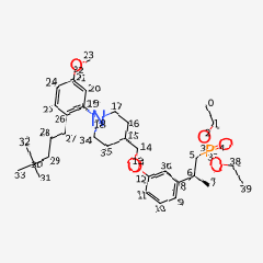 CCOP(=O)(C[C@@H](C)c1cccc(OCC2CCN(c3cc(OC)ccc3CCCC(C)(C)C)CC2)c1)OCC